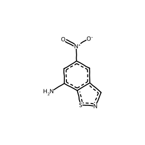 Nc1cc([N+](=O)[O-])cc2cnsc12